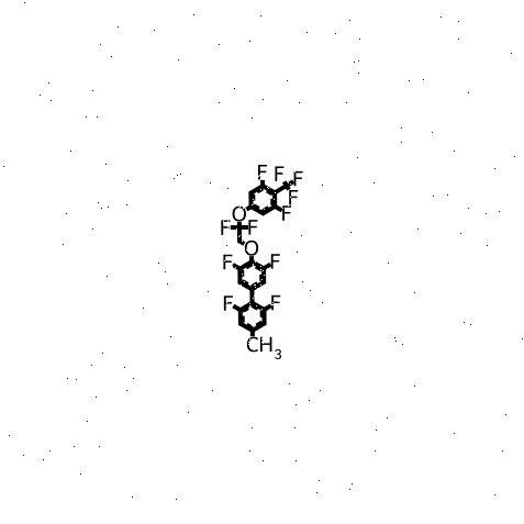 Cc1cc(F)c(-c2cc(F)c(OCC(F)(F)Oc3cc(F)c(C(F)(F)F)c(F)c3)c(F)c2)c(F)c1